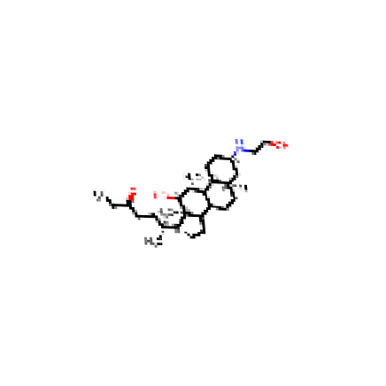 CCC(=O)CC[C@@H](C)[C@H]1CCC2C3CC[C@@H]4C[C@H](NCCO)CC[C@]4(C)C3C[C@H](O)[C@@]21C